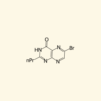 CCCc1nc2ncc(Br)nc2c(=O)[nH]1